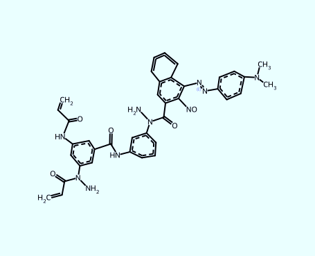 C=CC(=O)Nc1cc(C(=O)Nc2cccc(N(N)C(=O)c3cc4c(c(/N=N/c5ccc(N(C)C)cc5)c3N=O)C=C=C=C4)c2)cc(N(N)C(=O)C=C)c1